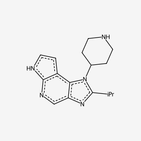 CC(C)c1nc2cnc3[nH]ccc3c2n1C1CCNCC1